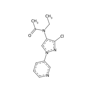 CCN(C(C)=O)c1cn(-c2cccnc2)nc1Cl